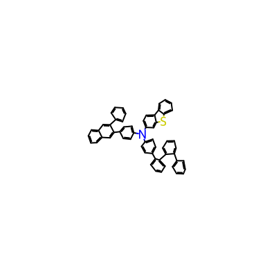 c1ccc(-c2cc3ccccc3cc2-c2ccc(N(c3ccc(-c4ccccc4-c4ccccc4-c4ccccc4)cc3)c3ccc4c(c3)sc3ccccc34)cc2)cc1